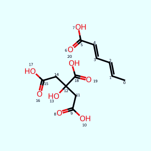 CC=CC=CC(=O)O.O=C(O)CC(O)(CC(=O)O)C(=O)O